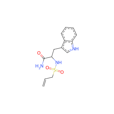 C=CCS(=O)(=O)NC(Cc1c[nH]c2ccccc12)C(N)=O